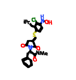 CNC(=O)[C@H](Cc1ccccc1)N1C(=O)CC(CSc2ccc(NO)c(Cl)c2CC(C)C)C1=O